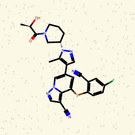 Cc1c(-c2cc(Sc3ccc(F)cc3C#N)c3c(C#N)cnn3c2)cnn1[C@H]1CCCN(C(=O)[C@@H](C)O)C1